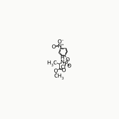 COC(=O)C(C)NP(=O)(Cl)Oc1ccc([N+](=O)[O-])cc1